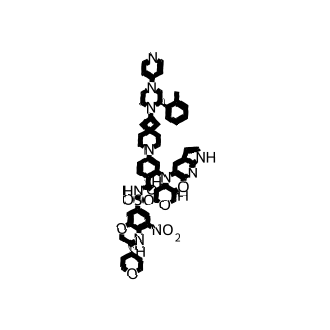 Cc1ccccc1[C@@H]1CN(c2ccncc2)CCN1C1CC2(CCN(c3ccc(C(=O)NS(=O)(=O)c4cc5c(c([N+](=O)[O-])c4)N[C@H](C4CCOCC4)CO5)c(N4c5cc6cc[nH]c6nc5O[C@H]5COCC[C@@H]54)c3)CC2)C1